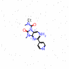 C=C(/N=C1\C(=C/N)N(C(=O)N(C)CC)C(=O)N1C)c1ccncc1